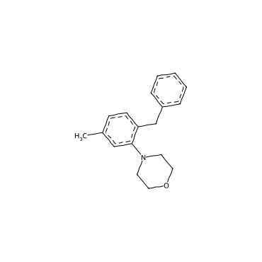 Cc1ccc(Cc2ccccc2)c(N2CCOCC2)c1